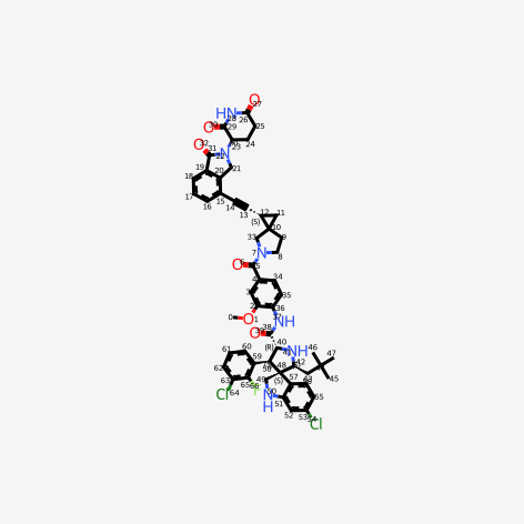 COc1cc(C(=O)N2CCC3(C[C@H]3C#Cc3cccc4c3CN([C@@H]3CCC(=O)NC3=O)C4=O)C2)ccc1NC(=O)[C@@H]1N[C@@H](CC(C)(C)C)[C@@]2(CNc3cc(Cl)ccc32)[C@H]1c1cccc(Cl)c1F